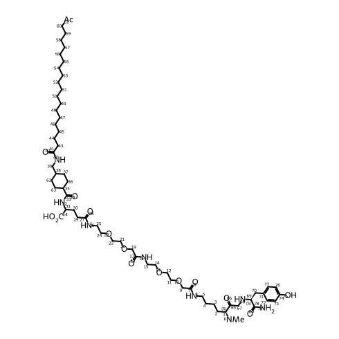 CN[C@@H](CCCCNC(=O)COCCOCCNC(=O)COCCOCCNC(=O)CCC(NC(=O)C1CCC(CNC(=O)CCCCCCCCCCCCCCCCCCC(C)=O)CC1)C(=O)O)C(=O)CN[C@@H](Cc1ccc(O)cc1)C(N)=O